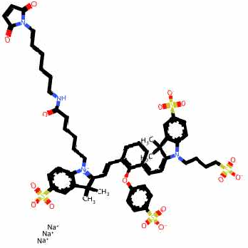 CC1(C)C(/C=C/C2=C(Oc3ccc(S(=O)(=O)[O-])cc3)C(=C/C=C3/N(CCCCS(=O)(=O)[O-])c4ccc(S(=O)(=O)[O-])cc4C3(C)C)/CCC2)=[N+](CCCCCC(=O)NCCCCCCN2C(=O)C=CC2=O)c2ccc(S(=O)(=O)[O-])cc21.[Na+].[Na+].[Na+]